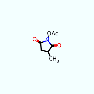 CC(=O)ON1C(=O)CC(C)C1=O